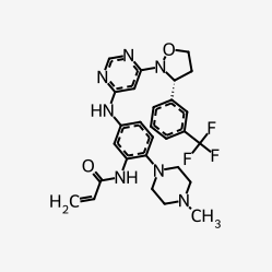 C=CC(=O)Nc1cc(Nc2cc(N3OCC[C@@H]3c3cccc(C(F)(F)F)c3)ncn2)ccc1N1CCN(C)CC1